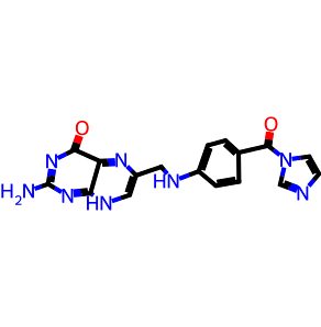 Nc1nc2[nH]cc(CNc3ccc(C(=O)n4ccnc4)cc3)nc-2c(=O)n1